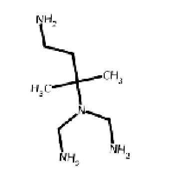 CC(C)(CCN)N(CN)CN